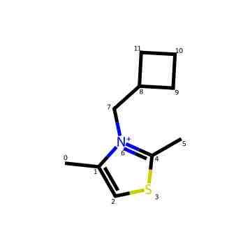 Cc1csc(C)[n+]1CC1CCC1